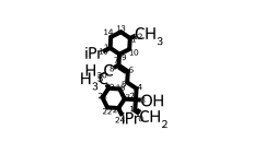 C=CC(O)(CCC=C(C)C1CC(C)CCC1C(C)C)C1CC(C)CCC1C(C)C